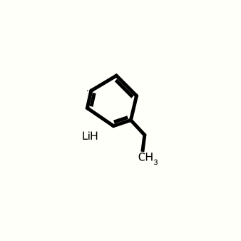 CCc1cc[c]cc1.[LiH]